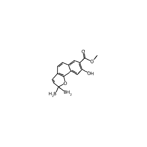 BC1(B)C=Cc2ccc3cc(C(=O)OC)c(O)cc3c2O1